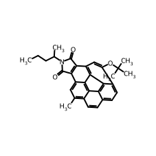 CCCC(C)n1c(=O)c2c3cc(C)c4ccc5ccc6c(OC(C)(C)C)cc(c2c1=O)c1c6c5c4c31